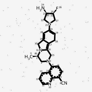 C[C@@H]1CN(c2ccc(C#N)c3ncccc23)CC2=C3CC=C(N4C[C@@H](N)[C@@H](F)C4)C=C3CN21